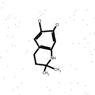 CC1(C)CCc2cc(Cl)c(Cl)cc2N1